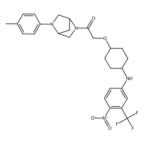 Cc1ccc(N2CC3CC2CN3C(=O)COC2CCC(Nc3ccc([N+](=O)[O-])c(C(F)(F)F)c3)CC2)cc1